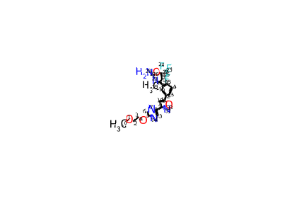 COCCOc1cnc(-c2cc(-c3ccc(F)c(C4(C)C[C@@H](C(F)(F)F)OC(N)=N4)c3)on2)cn1